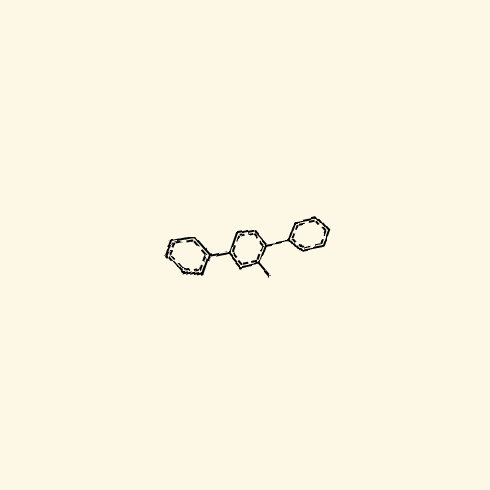 Cc1cc(-c2ccccc2)ccc1-c1ccccc1